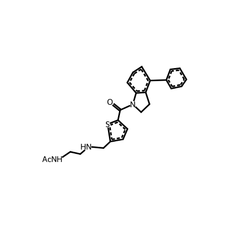 CC(=O)NCCNCc1ccc(C(=O)N2CCc3c(-c4ccccc4)cccc32)s1